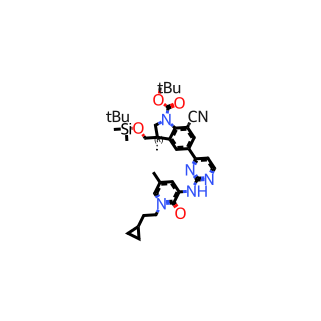 Cc1cc(Nc2nccc(-c3cc(C#N)c4c(c3)[C@@](C)(CO[Si](C)(C)C(C)(C)C)CN4C(=O)OC(C)(C)C)n2)c(=O)n(CCC2CC2)c1